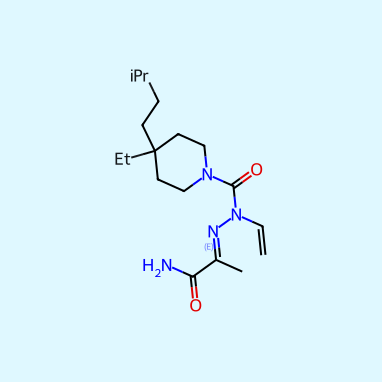 C=CN(/N=C(\C)C(N)=O)C(=O)N1CCC(CC)(CCC(C)C)CC1